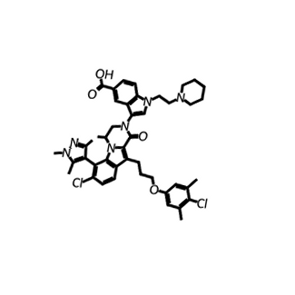 Cc1cc(OCCCc2c3n(c4c(-c5c(C)nn(C)c5C)c(Cl)ccc24)C(C)CN(c2cn(CCN4CCCCC4)c4ccc(C(=O)O)cc24)C3=O)cc(C)c1Cl